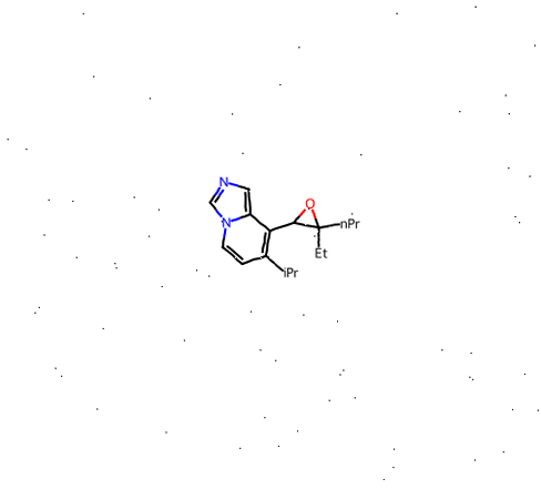 CCCC1(CC)OC1c1c(C(C)C)ccn2cncc12